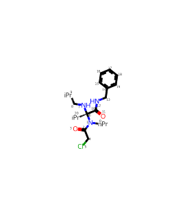 CCCN(C(=O)CCl)[C@](NCC(C)C)(C(=O)NCc1ccccc1)C(C)C